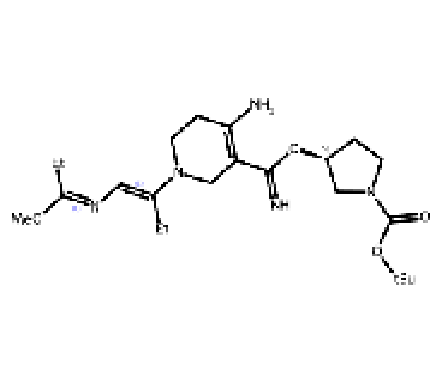 CC/C(=C\N=C(/CC)OC)N1CCC(N)=C(C(=N)O[C@H]2CCN(C(=O)OC(C)(C)C)C2)C1